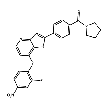 O=C(c1ccc(-c2cc3nccc(Oc4ccc([N+](=O)[O-])cc4F)c3s2)cc1)N1CCCC1